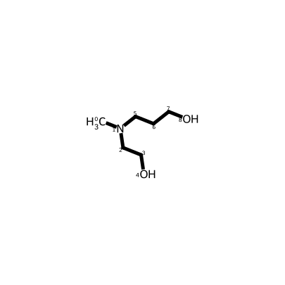 CN(CCO)CCCO